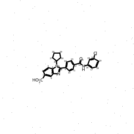 O=C(O)c1ccc2c(c1)nc(-c1ccc(C(=O)Nc3cccc(Cl)c3)cc1)n2C1CCCC1